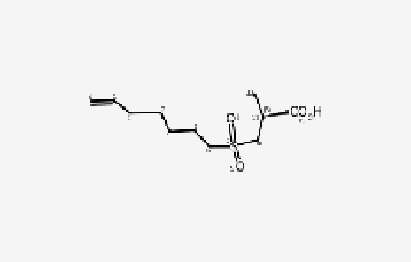 C=CCCCCCS(=O)(=O)C[C@@H](C)C(=O)O